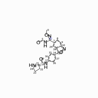 CO/N=C(\NC=O)c1ccc2noc(-c3ccc(NC(=O)[C@@H]4CCCN4)cc3)c2c1